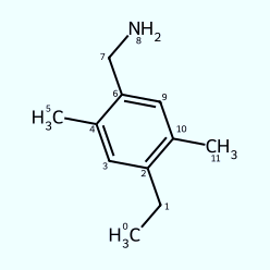 CCc1cc(C)c(CN)cc1C